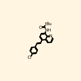 CC(C)(C)C(=O)Nc1ccc(C=Cc2ccc(Cl)cc2)c2cccnc12